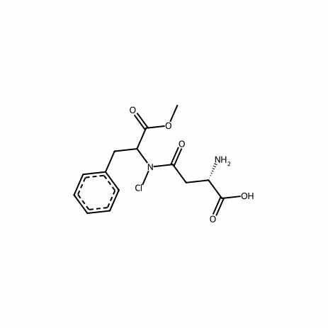 COC(=O)C(Cc1ccccc1)N(Cl)C(=O)C[C@H](N)C(=O)O